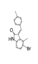 Cc1ccc(C=C2C(=O)Nc3ccc(Br)c(C)c32)cc1